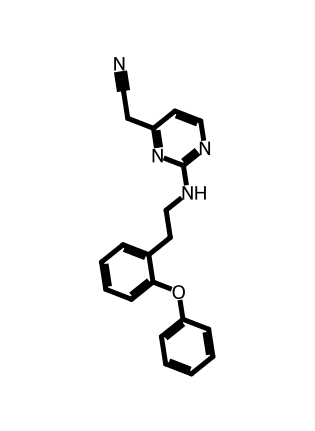 N#CCc1ccnc(NCCc2ccccc2Oc2ccccc2)n1